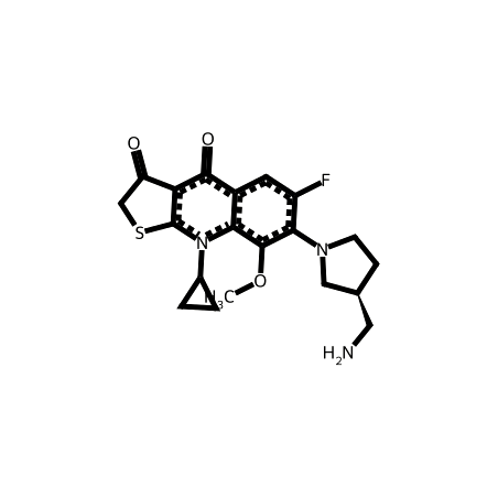 COc1c(N2CC[C@@H](CN)C2)c(F)cc2c(=O)c3c(n(C4CC4)c12)SCC3=O